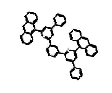 c1ccc(-c2cc(-c3cccc(-c4cc(-c5ccccc5)cc(-c5c6ccccc6cc6ccccc56)n4)c3)nc(-c3c4ccccc4cc4ccccc34)c2)cc1